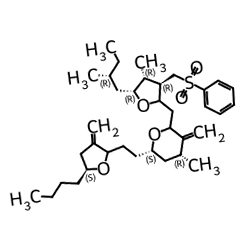 C=C1C[C@H](CCCC)OC1CC[C@H]1C[C@@H](C)C(=C)C(CC2O[C@H](C[C@H](C)CC)[C@H](C)[C@H]2CS(=O)(=O)c2ccccc2)O1